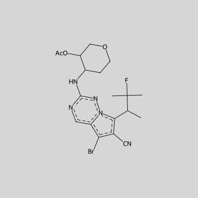 CC(=O)OC1COCCC1Nc1ncc2c(Br)c(C#N)c(C(C)C(C)(C)F)n2n1